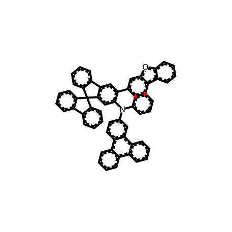 c1ccc(N(c2ccc3c4ccccc4c4ccccc4c3c2)c2cc3c(cc2-c2ccc4c(c2)oc2ccccc24)-c2ccccc2C32c3ccccc3-c3ccccc32)cc1